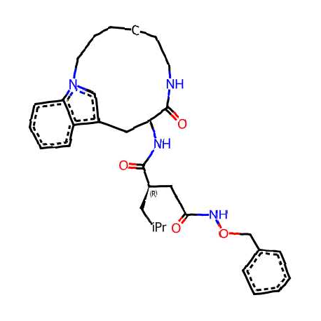 CC(C)C[C@H](CC(=O)NOCc1ccccc1)C(=O)NC1Cc2cn(c3ccccc23)CCCCCCNC1=O